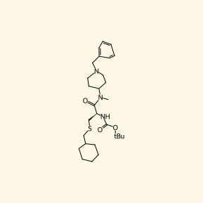 CN(C(=O)[C@H](CSCC1CCCCC1)NC(=O)OC(C)(C)C)C1CCN(Cc2ccccc2)CC1